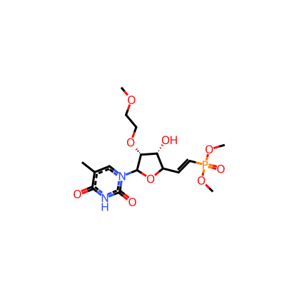 COCCO[C@H]1C(n2cc(C)c(=O)[nH]c2=O)OC(/C=C/P(=O)(OC)OC)[C@H]1O